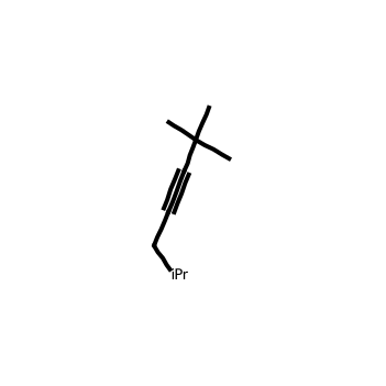 [CH2]C(C)CC#CC(C)(C)C